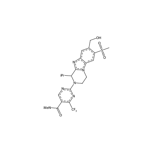 CNC(=O)c1cnc(N2CCn3c(nc4cc(CO)c(S(C)(=O)=O)cc43)C2C(C)C)nc1C(F)(F)F